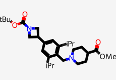 COC(=O)C1CCN(Cc2c(C(C)C)cc(C3CN(C(=O)OC(C)(C)C)C3)cc2C(C)C)CC1